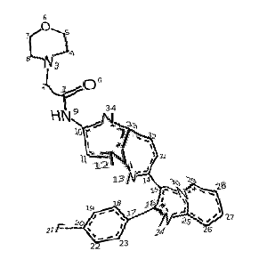 O=C(CN1CCOCC1)Nc1cn2nc(-c3c(-c4ccc(F)cc4)nc4ccccn34)ccc2n1